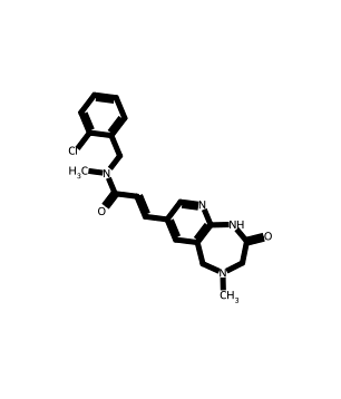 CN1CC(=O)Nc2ncc(C=CC(=O)N(C)Cc3ccccc3Cl)cc2C1